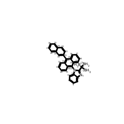 BC(B)(B)c1nc2ccccc2n1-c1c2ccccc2c(-c2ccc3ccccc3c2)c2ccccc12